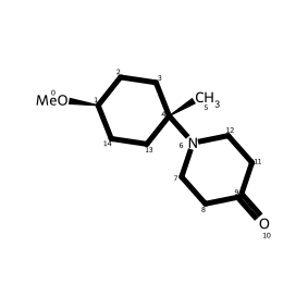 CO[C@H]1CC[C@](C)(N2CCC(=O)CC2)CC1